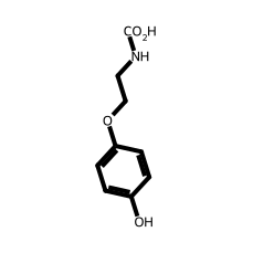 O=C(O)NCCOc1ccc(O)cc1